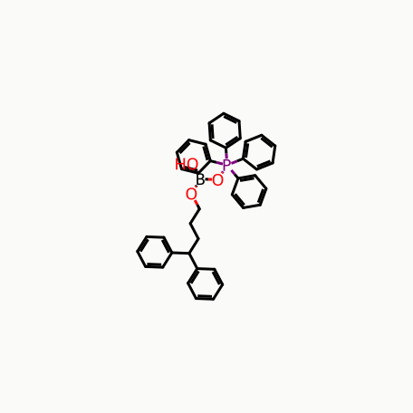 OB(OCCCC(c1ccccc1)c1ccccc1)OP(c1ccccc1)(c1ccccc1)(c1ccccc1)c1ccccc1